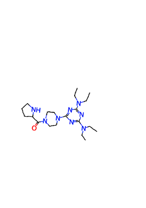 CCN(CC)c1nc(N(CC)CC)nc(N2CCN(C(=O)C3CCCN3)CC2)n1